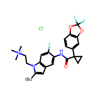 CC(C)(C)c1cc2cc(NC(=O)C3(c4ccc5c(c4)OC(F)(F)O5)CC3)c(F)cc2n1CC[N+](C)(C)C.[Cl-]